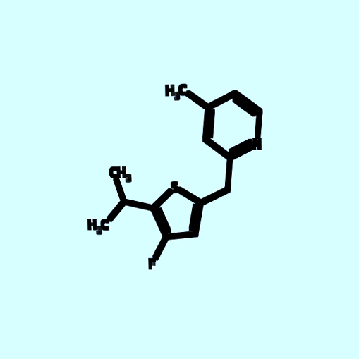 Cc1ccnc(Cc2cc(F)c(C(C)C)s2)c1